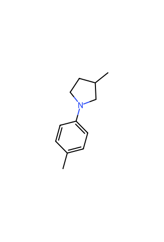 Cc1ccc(N2CCC(C)C2)cc1